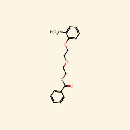 CCOC(=O)c1ccccc1OCCOCCOC(=O)c1ccccc1